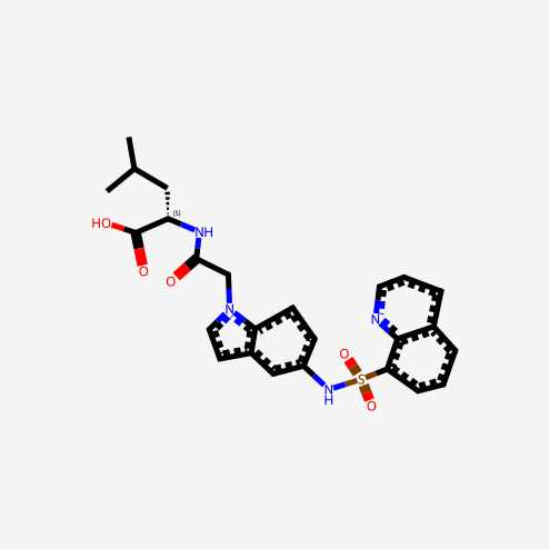 CC(C)C[C@H](NC(=O)Cn1ccc2cc(NS(=O)(=O)c3cccc4cccnc34)ccc21)C(=O)O